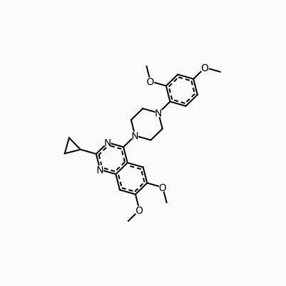 COc1ccc(N2CCN(c3nc(C4CC4)nc4cc(OC)c(OC)cc34)CC2)c(OC)c1